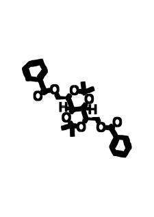 CC1(C)O[C@H]2[C@H](OC(C)(C)O[C@@H]2COC(=O)c2ccccc2)[C@@H](COC(=O)c2ccccc2)O1